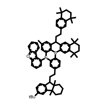 Cc1cc2c3c(c1)N(c1cccc4oc5ccccc5c14)c1cc(CCC4c5ccc(C(C)(C)C)cc5C5(C)CCCCC45C)ccc1B3c1cc3c(cc1C2CCc1ccc2c(c1)C(C)(C)CCC2(C)C)C(C)(C)CCC3(C)C